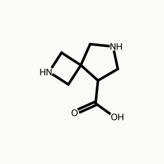 O=C(O)C1CNCC12CNC2